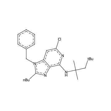 CCCCc1nc2c(NC(C)(C)CC(C)(C)C)nc(Cl)cc2n1Cc1ccccc1